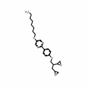 CCCCCCCCOc1cnc(-c2ccc(OCC(CC3CO3)C3CO3)cc2)nc1